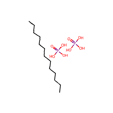 CCCCCCCCCCCCC.O=P(O)(O)O.O=P(O)(O)O